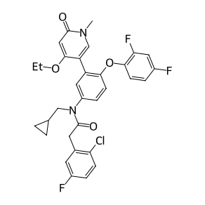 CCOc1cc(=O)n(C)cc1-c1cc(N(CC2CC2)C(=O)Cc2cc(F)ccc2Cl)ccc1Oc1ccc(F)cc1F